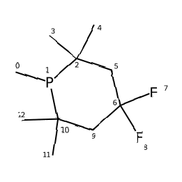 CP1C(C)(C)CC(F)(F)CC1(C)C